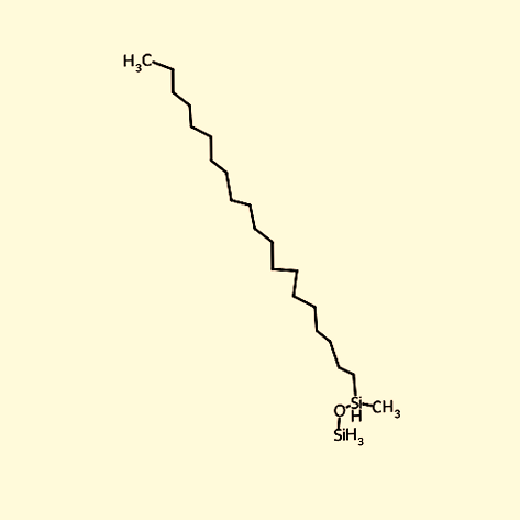 CCCCCCCCCCCCCCCCCCCC[SiH](C)O[SiH3]